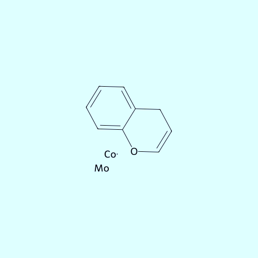 C1=COc2ccccc2C1.[Co].[Mo]